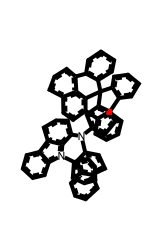 c1ccc(-c2ccc3cccc4c3c2C2(c3ccccc3-c3ccc(N(c5ccc6ccccc6c5)c5cccc6c7ccccc7n(-c7ccccc7)c56)cc32)c2ccccc2-4)cc1